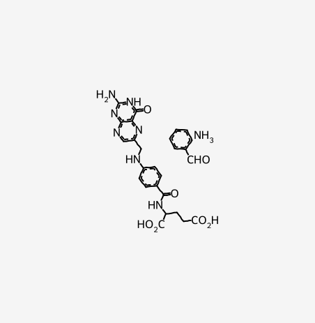 N.Nc1nc2ncc(CNc3ccc(C(=O)NC(CCC(=O)O)C(=O)O)cc3)nc2c(=O)[nH]1.O=Cc1ccccc1